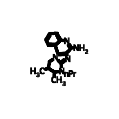 CCCN1c2nc3c(N)nc4ccccc4c3n2CC(C)C1C